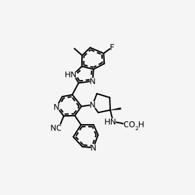 Cc1cc(F)cc2nc(-c3cnc(C#N)c(-c4ccncc4)c3N3CC[C@](C)(NC(=O)O)C3)[nH]c12